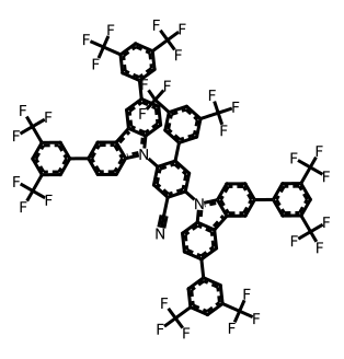 N#Cc1cc(-n2c3ccc(-c4cc(C(F)(F)F)cc(C(F)(F)F)c4)cc3c3cc(-c4cc(C(F)(F)F)cc(C(F)(F)F)c4)ccc32)c(-c2cc(C(F)(F)F)cc(C(F)(F)F)c2)cc1-n1c2ccc(-c3cc(C(F)(F)F)cc(C(F)(F)F)c3)cc2c2cc(-c3cc(C(F)(F)F)cc(C(F)(F)F)c3)ccc21